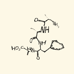 C[C@H](N)C(=O)N[C@@H](C)C(=O)N[C@@H](Cc1ccccc1)C(=O)N[C@@H](C)C(=O)O